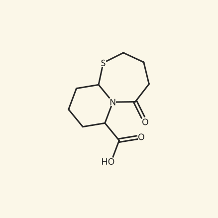 O=C(O)C1CCCC2SCCCC(=O)N21